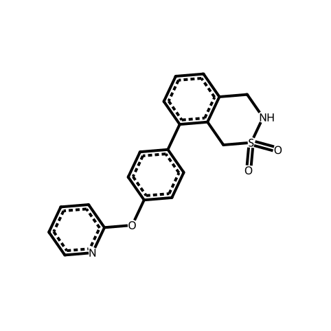 O=S1(=O)Cc2c(cccc2-c2ccc(Oc3ccccn3)cc2)CN1